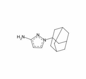 Nc1ccn(C23CC4CC(CC(C4)C2)C3)n1